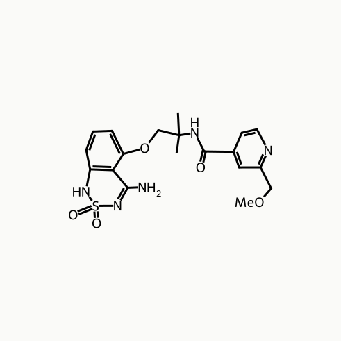 COCc1cc(C(=O)NC(C)(C)COc2cccc3c2C(N)=NS(=O)(=O)N3)ccn1